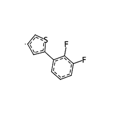 Fc1cccc(-c2c[c]cs2)c1F